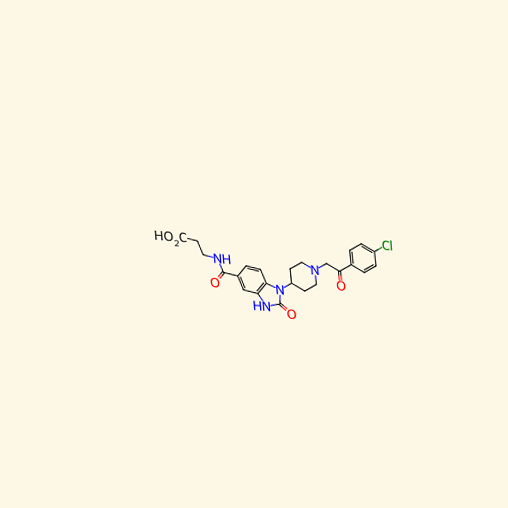 O=C(O)CCNC(=O)c1ccc2c(c1)[nH]c(=O)n2C1CCN(CC(=O)c2ccc(Cl)cc2)CC1